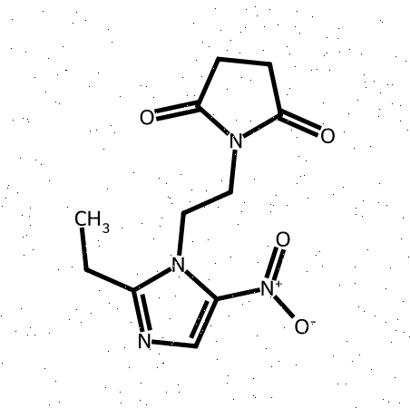 CCc1ncc([N+](=O)[O-])n1CCN1C(=O)CCC1=O